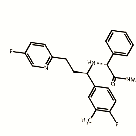 CNC(=O)[C@H](N[C@H](CCc1ccc(F)cn1)c1ccc(F)c(C)c1)c1ccccc1